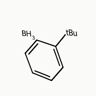 B.CC(C)(C)c1ccccc1